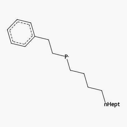 CCCCCCCCCCC[P]CCc1ccccc1